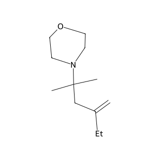 C=C(CC)CC(C)(C)N1CCOCC1